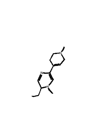 CCC1C=NC(C2=CCN(C)CC2)=CN1C